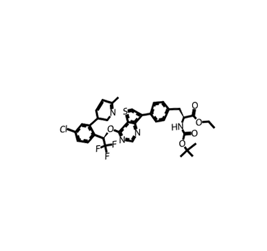 CCOC(=O)[C@H](Cc1ccc(-c2csc3c(O[C@H](c4ccc(Cl)cc4C4C=CC(C)=NC4)C(F)(F)F)ncnc23)cc1)NC(=O)OC(C)(C)C